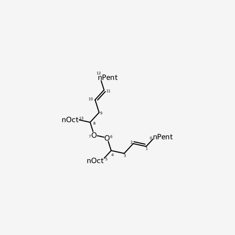 CCCCC/C=C/CC(CCCCCCCC)OOC(C/C=C/CCCCC)CCCCCCCC